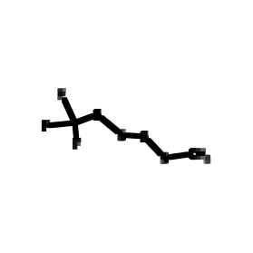 CSSSSC(F)(F)F